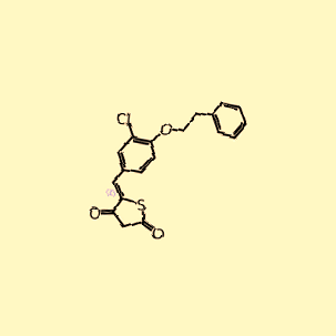 O=C1CC(=O)/C(=C/c2ccc(OCCc3ccccc3)c(Cl)c2)S1